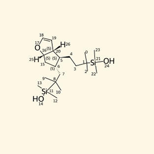 CC(C)(CC[C@H]1[C@H](CC(C)(C)[Si](C)(C)O)C[C@@H]2OC=C[C@H]12)[Si](C)(C)O